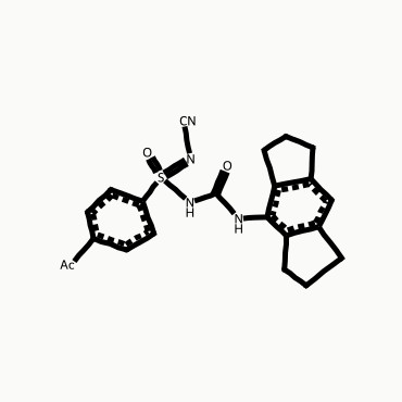 CC(=O)c1ccc(S(=O)(=NC#N)NC(=O)Nc2c3c(cc4c2CCC4)CCC3)cc1